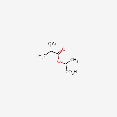 CC(=O)O[C@@H](C)C(=O)O[C@@H](C)C(=O)O